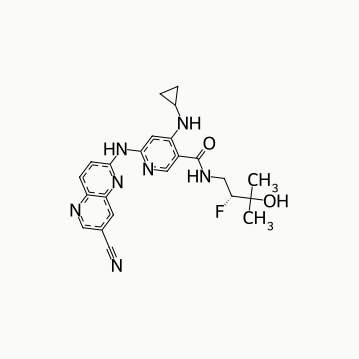 CC(C)(O)[C@H](F)CNC(=O)c1cnc(Nc2ccc3ncc(C#N)cc3n2)cc1NC1CC1